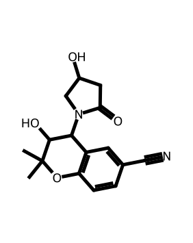 CC1(C)Oc2ccc(C#N)cc2C(N2CC(O)CC2=O)C1O